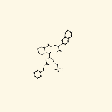 NC(=O)C(CNC(=O)C1CCCCN1C(=O)C(CSCP(=O)(O)O)NC(=O)OCc1ccccc1)c1ccc2ccccc2c1